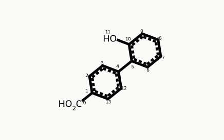 O=C(O)c1ccc(-c2cc[c]cc2O)cc1